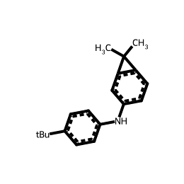 CC(C)(C)c1ccc(Nc2ccc3c(c2)C3(C)C)cc1